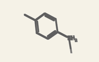 Cc1ccc([SiH2]I)cc1